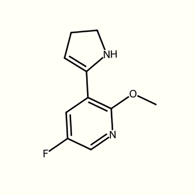 COc1ncc(F)cc1C1=CCCN1